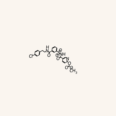 COC(=O)Oc1ccc(C(=O)NS(=O)(=O)c2cccc(C(=O)NCCc3ccc(Cl)cc3)c2)cn1